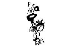 Cc1ncncc1OC(=O)N[C@@]1(C(=O)NCc2ccc(Nc3ccccc3C(F)(F)F)cc2)CCOC1